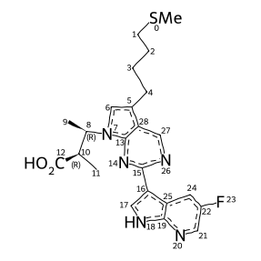 CSCCCCc1cn([C@H](C)[C@@H](C)C(=O)O)c2nc(-c3c[nH]c4ncc(F)cc34)ncc12